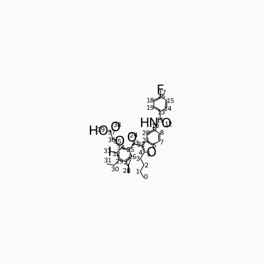 CCCCc1oc2ccc(NC(=O)c3ccc(F)cc3)cc2c1C(=O)c1cc(I)c(CC)c(I)c1OCC(=O)O